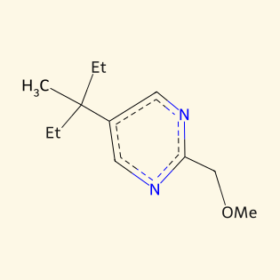 CCC(C)(CC)c1cnc(COC)nc1